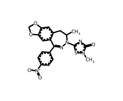 CC1Cc2cc3c(cc2C(c2ccc([N+](=O)[O-])cc2)=NN1c1nc(=O)n(C)s1)OCO3